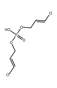 O=P(O)(OCC=CCl)OCC=CCl